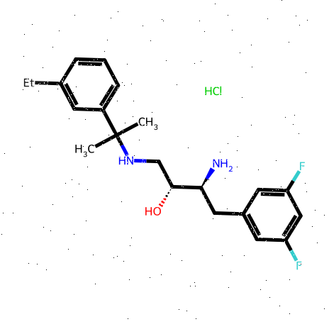 CCc1cccc(C(C)(C)NC[C@@H](O)[C@@H](N)Cc2cc(F)cc(F)c2)c1.Cl